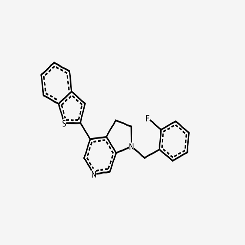 Fc1ccccc1CN1CCc2c(-c3cc4ccccc4s3)cncc21